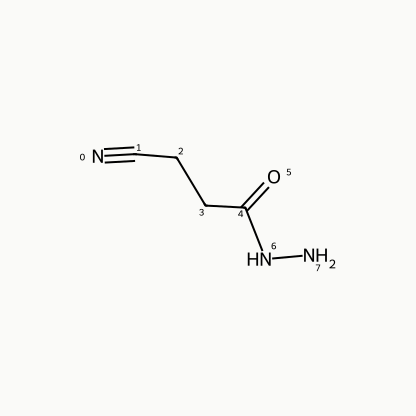 N#CCCC(=O)NN